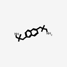 CC(C)(CN)Cc1ccc2cc(CC(C)(C)CN)ccc2c1